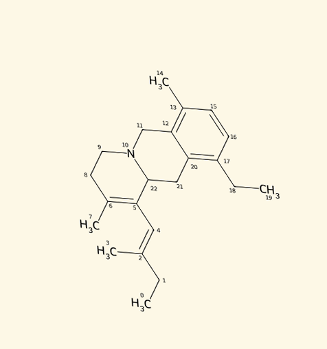 CC/C(C)=C/C1=C(C)CCN2Cc3c(C)ccc(CC)c3CC12